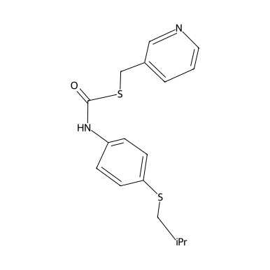 CC(C)CSc1ccc(NC(=O)SCc2cccnc2)cc1